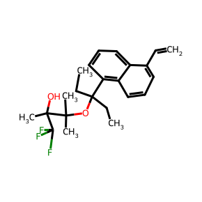 C=Cc1cccc2c(C(CC)(CC)OC(C)(C)C(C)(O)C(F)(F)F)cccc12